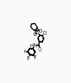 O=C(Nc1cc(F)c(F)c(F)c1)c1ccc(Cl)c(S(=O)(=O)C2C3CCCC2CC3)c1